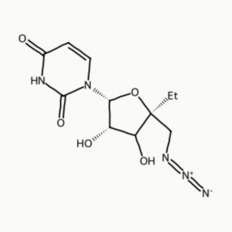 CC[C@@]1(CN=[N+]=[N-])O[C@@H](n2ccc(=O)[nH]c2=O)[C@@H](O)C1O